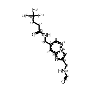 O=CNCc1cn2ncc(CNC(=O)CCC(F)(F)F)cc2n1